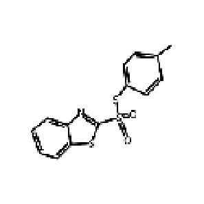 Cc1ccc(SS(=O)(=O)c2nc3ccccc3s2)cc1